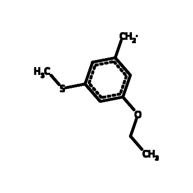 [CH2]c1cc(OCC)cc(SC)c1